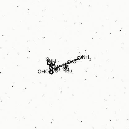 CN(Cc1c(C=O)cccc1NC(=O)CCCCCN(CCOCCOCCOCCN)C(=O)OC(C)(C)C)C1CCC(=O)NC1=O